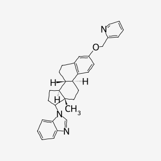 C[C@]12CC[C@@H]3c4ccc(OCc5ccccn5)cc4CC[C@H]3[C@@H]1CCC2n1cnc2ccccc21